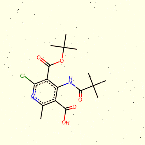 Cc1nc(Cl)c(C(=O)OC(C)(C)C)c(NC(=O)C(C)(C)C)c1C(=O)O